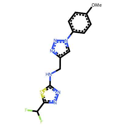 COc1ccc(-n2cc(CNc3nnc(C(F)F)s3)nn2)cc1